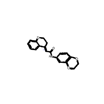 O=C(/C=C1\CCOc2ccccc21)Nc1ccc2c(c1)OCCO2